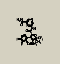 COc1c([C@H]2[C@H](C(=O)Nc3cncc(C(N)=O)n3)O[C@](C)(C(F)(F)F)[C@H]2C)ccc(F)c1F